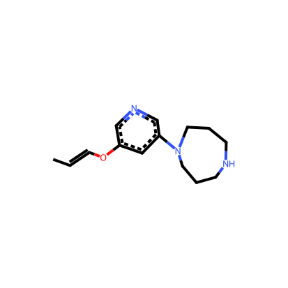 CC=COc1cncc(N2CCCNCCC2)c1